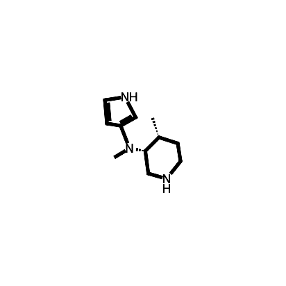 C[C@@H]1CCNC[C@@H]1N(C)c1cc[nH]c1